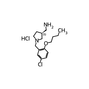 CCCCOc1ccc(Cl)cc1CN1CC[C@@H](CN)C1.Cl